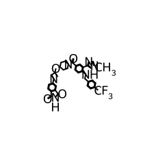 Cn1cnc(-c2cc(C(=O)N3CCC(OC4CN(c5ccc6c(c5)C(=O)NC6=O)C4)CC3)ccc2NCc2ccc(C(F)(F)F)cc2)c1